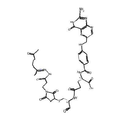 CC(=O)CC/C(C)=N/NC(=O)CCN1C(=O)CC(SC[C@@H](C=O)NC(=O)CC[C@H](NC(=O)c2ccc(NCc3cnc4nc(N)[nH]c(=O)c4n3)cc2)C(=O)O)C1=O